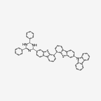 c1ccc(C2=NC(c3ccc4c(c3)sc3c(-c5cccc6c5sc5cc(-n7c8ccccc8c8ccccc87)ccc56)cccc34)NC(c3ccccc3)N2)cc1